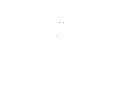 NC(=O)O[C@@H]1CCc2c(Br)cccc21